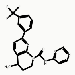 CC1CCN(C(=O)Nc2ccncn2)c2nc(-c3cccc(C(F)(F)F)c3)ccc21